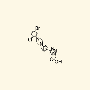 O=C(O)Cn1nnc(-c2cnc(N3CCN(c4cc(Br)ccc4Cl)CC3)s2)n1